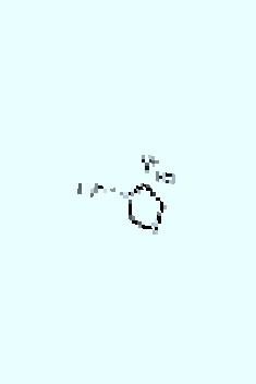 Cl.N[C@H]1CSC[C@H]1O